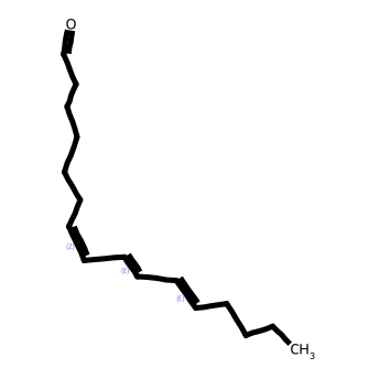 CCCC/C=C/C=C/C=C\CCCCCC=O